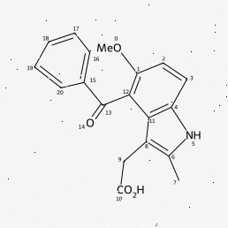 COc1ccc2[nH]c(C)c(CC(=O)O)c2c1C(=O)c1ccccc1